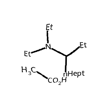 CC(=O)O.CCCCCCCC(CC)N(CC)CC